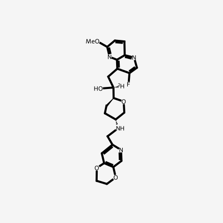 [2H][C@](O)(Cc1c(F)cnc2ccc(OC)nc12)[C@@H]1CC[C@@H](NCc2cc3c(cn2)OCCO3)CO1